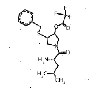 CC(C)C[C@H](N)C(=O)N1CC(OC(=O)C(F)(F)F)C(SCc2ccccc2)C1